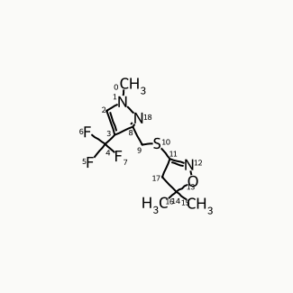 Cn1cc(C(F)(F)F)c(CSC2=NOC(C)(C)C2)n1